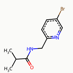 CC(C)C(=O)NCc1ccc(Br)cn1